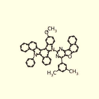 COc1ccc2c(c1)c1c3c4ccc5ccccc5c4n(-c4ccccc4)c3c3ccccc3c1n2-c1nc(-c2cc(C)cc(C)c2)c2oc3ccc4ccccc4c3c2n1